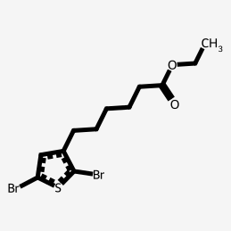 CCOC(=O)CCCCCc1cc(Br)sc1Br